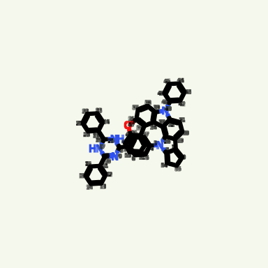 C1=c2c(n(-c3ccc(C4N=C(c5ccccc5)NC(c5ccccc5)N4)cc3)c3c2ccc2c3c3c4c(ccc3n2-c2ccccc2)oc2ccccc24)=CC1